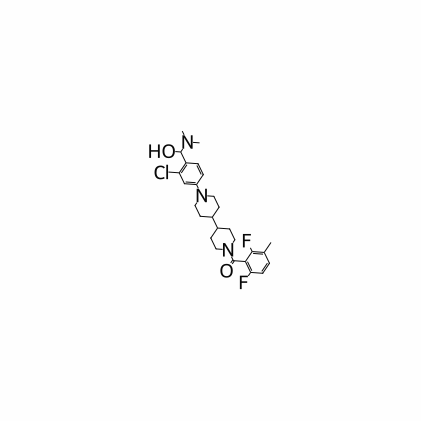 Cc1ccc(F)c(C(=O)N2CCC(C3CCN(c4ccc(C(O)N(C)C)c(Cl)c4)CC3)CC2)c1F